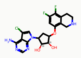 Nc1ncnc2c1c(Cl)cn2C1CC(Oc2cc(F)c(F)c3c2CNCC3)[C@@H](O)[C@H]1O